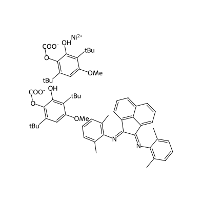 COc1cc(C(C)(C)C)c(OC(=O)[O-])c(O)c1C(C)(C)C.COc1cc(C(C)(C)C)c(OC(=O)[O-])c(O)c1C(C)(C)C.Cc1cccc(C)c1N=C1C(=Nc2c(C)cccc2C)c2cccc3cccc1c23.[Ni+2]